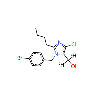 [2H]C([2H])(O)c1c(Cl)nc(CCCC)n1Cc1ccc(Br)cc1